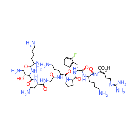 NCCCC[C@@H](N)C(=O)N[C@@H](C(=O)N[C@H](CCN)C(=O)NCC(=O)N[C@@H](CCCN)C(=O)N1CCC[C@@H]1C(=O)N[C@H](Cc1ccccc1F)C(=O)N[C@H](CCCCN)C(=O)N/C(=C\CCN=C(N)N)C(=O)O)[C@H](O)CN